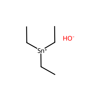 C[CH2][Sn+]([CH2]C)[CH2]C.[OH-]